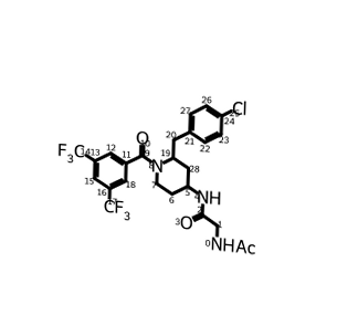 CC(=O)NCC(=O)NC1CCN(C(=O)c2cc(C(F)(F)F)cc(C(F)(F)F)c2)C(Cc2ccc(Cl)cc2)C1